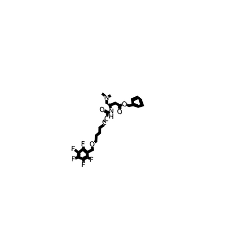 CN(C)C[C@@H](CC(=O)OCc1ccccc1)NC(=O)CCCCCCCOCc1c(F)c(F)c(F)c(F)c1F